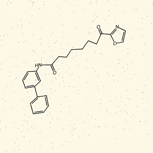 O=C(CCCCCCC(=O)c1ncco1)Nc1cccc(-c2ccccc2)c1